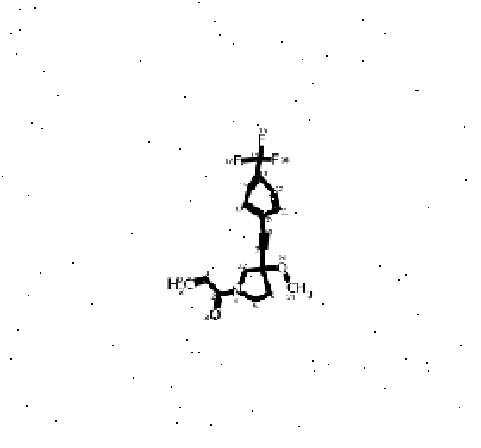 C=CC(=O)N1CCC(C#Cc2ccc(C(F)(F)F)cc2)(OC)C1